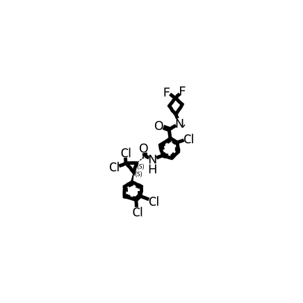 CN(C(=O)c1cc(NC(=O)[C@@H]2[C@@H](c3ccc(Cl)c(Cl)c3)C2(Cl)Cl)ccc1Cl)C1CC(F)(F)C1